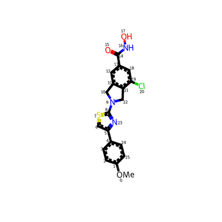 COc1ccc(-c2csc(N3Cc4cc(C(=O)NO)cc(Cl)c4C3)n2)cc1